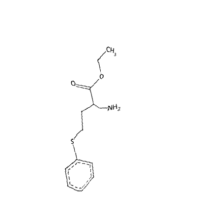 CCOC(=O)C(N)CCSc1ccccc1